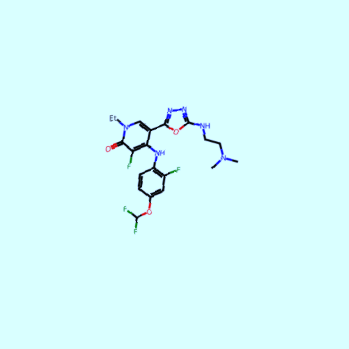 CCn1cc(-c2nnc(NCCN(C)C)o2)c(Nc2ccc(OC(F)F)cc2F)c(F)c1=O